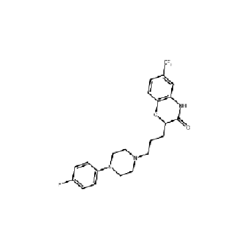 O=C1Nc2cc(C(F)(F)F)ccc2OC1CCCN1CCN(c2ccc(F)cc2)CC1